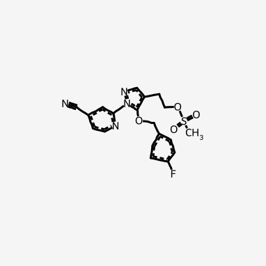 CS(=O)(=O)OCCc1cnn(-c2cc(C#N)ccn2)c1OCc1ccc(F)cc1